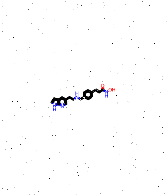 O=C(/C=C/c1ccc(CNCCc2cnc3[nH]ccc3c2)cc1)NO